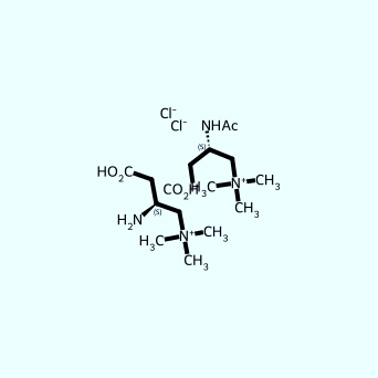 CC(=O)N[C@@H](CC(=O)O)C[N+](C)(C)C.C[N+](C)(C)C[C@@H](N)CC(=O)O.[Cl-].[Cl-]